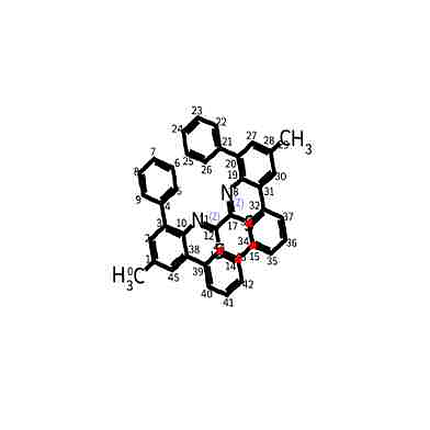 Cc1cc(-c2ccccc2)c(/N=C2\SCCS\C2=N/c2c(-c3ccccc3)cc(C)cc2-c2ccccc2)c(-c2ccccc2)c1